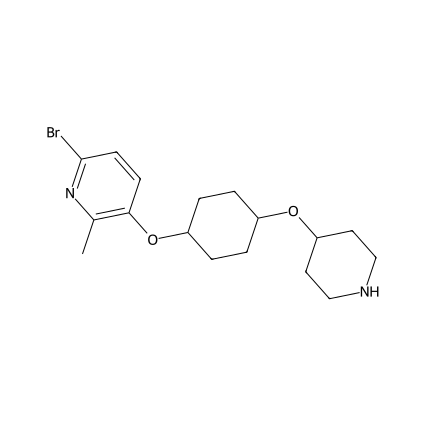 Cc1nc(Br)ccc1OC1CCC(OC2CCNCC2)CC1